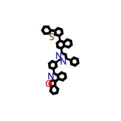 c1ccc(-c2cc(-c3ccc(-c4cccc5c4sc4ccccc45)c4ccccc34)nc(-c3cccc(-c4nc5oc6ccccc6c5c5ccccc45)c3)n2)cc1